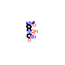 CC(=O)Nc1cc2c(cc1C)CN(C1CCC(=O)NC1=O)C2O